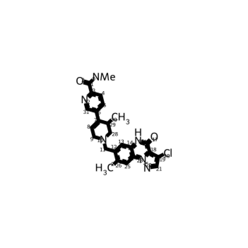 CNC(=O)c1ccc(C2=CCN(Cc3cc4[nH]c(=O)c5c(Cl)cnn5c4cc3C)CC2C)cn1